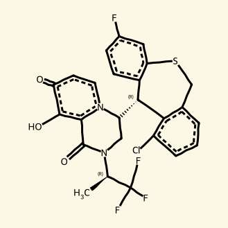 C[C@@H](N1CC([C@@H]2c3ccc(F)cc3SCc3cccc(Cl)c32)n2ccc(=O)c(O)c2C1=O)C(F)(F)F